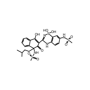 CC(C)CCC1(NS(C)(=O)=O)C(=O)C(C2=NS(O)(O)c3cc(NS(C)(=O)=O)ccc3N2)=C(O)c2ccccc21